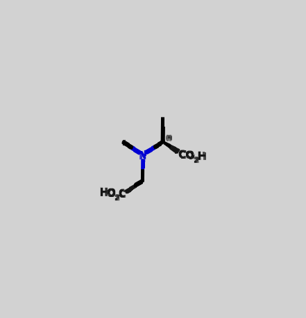 C[C@@H](C(=O)O)N(C)CC(=O)O